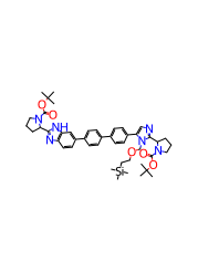 CC(C)(C)OC(=O)N1CCCC1c1nc2ccc(-c3ccc(-c4ccc(-c5cnc(C6CCCN6C(=O)OC(C)(C)C)n5COCC[Si](C)(C)C)cc4)cc3)cc2[nH]1